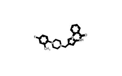 Cc1cc(F)ccc1N1CCN(Cc2cc3[nH]c(=O)c4ccccc4n3c2)CC1